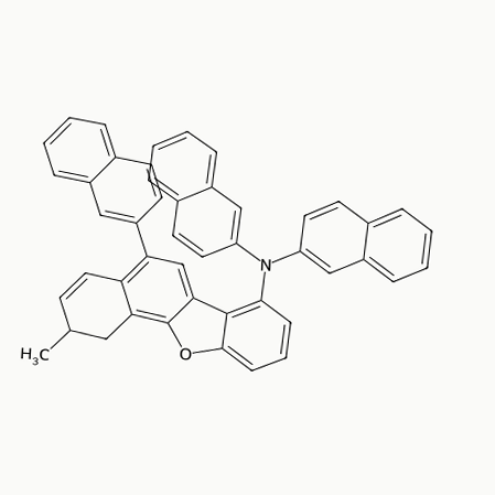 CC1C=Cc2c(-c3ccc4ccccc4c3)cc3c(oc4cccc(N(c5ccc6ccccc6c5)c5ccc6ccccc6c5)c43)c2C1